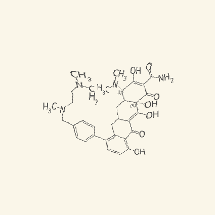 CN(C)CCN(C)Cc1ccc(-c2ccc(O)c3c2CC2CC4[C@H](N(C)C)C(O)=C(C(N)=O)C(=O)[C@@]4(O)C(O)=C2C3=O)cc1